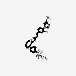 Cc1cn(-c2ccc(/C=C/c3nc4n(n3)CCC[C@@H]4c3ccc(S(C)(=O)=O)cc3)cc2C)cn1